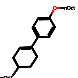 CCCCCCCCOc1ccc(C2=CCC(CCCCCCCC)CC2)cc1